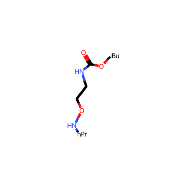 CCCNOCCNC(=O)OC(C)CC